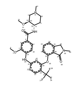 COc1cc(C(=O)N[C@H]2CCN(C)C[C@@H]2OC)ccc1Nc1ncc(C(F)(F)F)c(Oc2cccc3c2C(=O)N(C)C3)n1